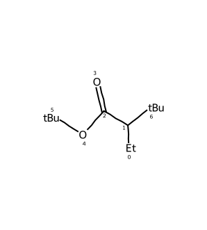 CCC(C(=O)OC(C)(C)C)C(C)(C)C